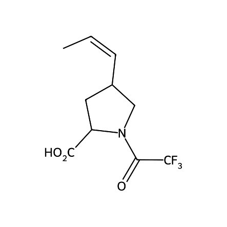 C/C=C\C1CC(C(=O)O)N(C(=O)C(F)(F)F)C1